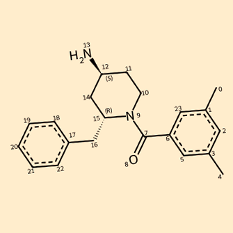 Cc1cc(C)cc(C(=O)N2CC[C@H](N)C[C@H]2Cc2ccccc2)c1